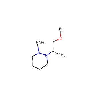 CCOCC(C)N1CCCCN1NC